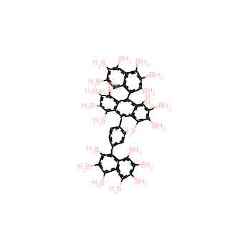 Bc1c(B)c(B)c2c(-c3ccc(-c4c5c(B)c(B)c(B)c(B)c5c(-c5c(B)c(B)c(B)c6c(B)c(B)c(B)c(B)c56)c5c(B)c(B)c(B)c(B)c45)cc3)c(B)c(B)c(B)c2c1B